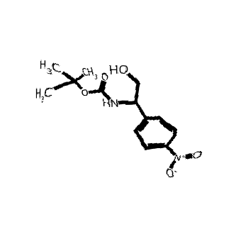 CC(C)(C)OC(=O)NC(CO)c1ccc([N+](=O)[O-])cc1